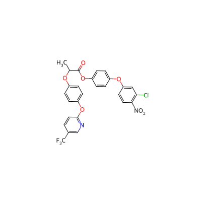 CC(Oc1ccc(Oc2ccc(C(F)(F)F)cn2)cc1)C(=O)Oc1ccc(Oc2ccc([N+](=O)[O-])c(Cl)c2)cc1